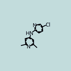 Cc1cc(Nc2ccc(Cl)cn2)cc(C)n1